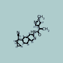 C=C(C(=O)Nc1cc2cc(C3(C#N)CC34CC4)ccc2cn1)c1cnn(C)c1